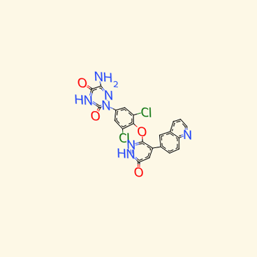 Nc1nn(-c2cc(Cl)c(Oc3n[nH]c(=O)cc3-c3ccc4ncccc4c3)c(Cl)c2)c(=O)[nH]c1=O